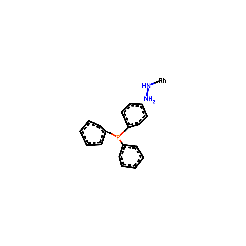 N[NH][Rh].c1ccc(P(c2ccccc2)c2ccccc2)cc1